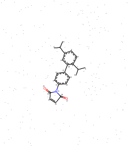 CC(C)c1ccc(C(C)C)c(-c2ccc(N3C(=O)C=CC3=O)cc2)c1